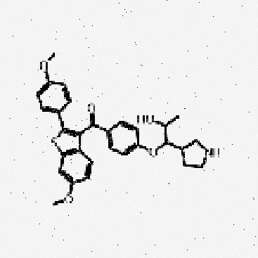 COc1ccc(-c2sc3cc(OC)ccc3c2C(=O)c2ccc(OC(C(C)O)C3CCNC3)cc2)cc1